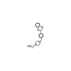 O=C(O)N1CCN(Cc2ccc(C3COc4ccccc4O3)cc2)CC1